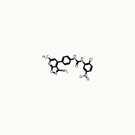 Cc1cc(-c2ccc(NC(=O)Nc3cc([N+](=O)[O-])ccc3Cl)cc2)c2c(N)noc2n1